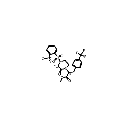 COC(=O)[C@H](Cc1ccc(C(F)(F)F)cc1)N1CCN(S(=O)(=O)c2ccccc2[N+](=O)[O-])[C@@H](C)C1=O